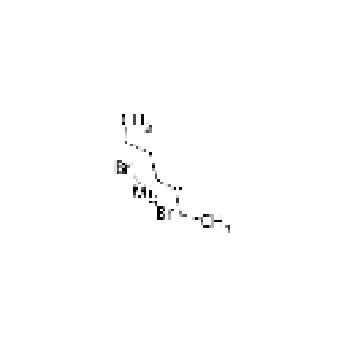 CC[CH]CCCC.[Br][Mg][Br]